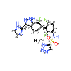 Cn1nncc1S(=O)(=O)Nc1ccc(F)c(-c2ccc3c(-c4ncc[nH]4)n[nH]c3c2F)c1F